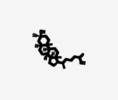 CC[C@]1(O)CC[C@@]2(C)[C@@H](CC[C@@H]3[C@@H]2CC[C@]2(C)[C@@H]([C@H](C)CCCC(C)O)CC[C@@H]32)C1